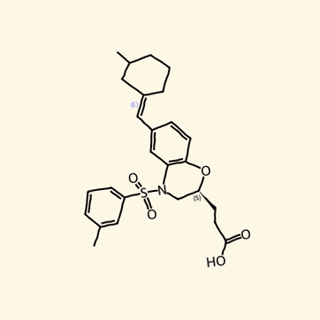 Cc1cccc(S(=O)(=O)N2C[C@H](CCC(=O)O)Oc3ccc(/C=C4\CCCC(C)C4)cc32)c1